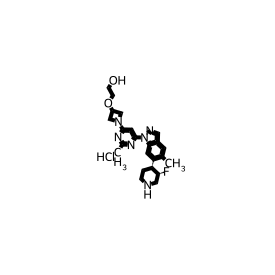 Cc1nc(N2CC(OCCO)C2)cc(-n2ncc3cc(C)c([C@H]4CCNC[C@H]4F)cc32)n1.Cl